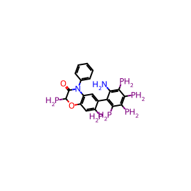 Nc1c(P)c(P)c(P)c(P)c1-c1cc2c(cc1P)OC(P)C(=O)N2c1ccccc1